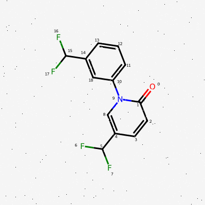 O=c1ccc(C(F)F)cn1-c1cccc(C(F)F)c1